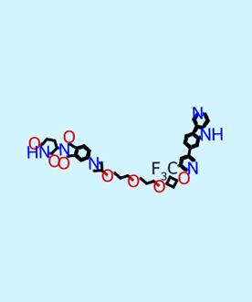 O=C1CCC(N2C(=O)c3ccc(N4CC(OCCCOCCCOC5CC(Oc6ncc(-c7ccc8c(c7)[nH]c7ccncc78)cc6C(F)(F)F)C5)C4)cc3C2=O)C(=O)N1